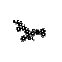 C=C/C=C\C(=C/C)c1ccc(-c2ccc(N(/C(C=C)=C/C=C3/C=CC=CC3)C(/C=C\Cc3ccc(-c4cccc5ccccc45)cc3)=C/C=C)cc2)cc1-c1ccccc1